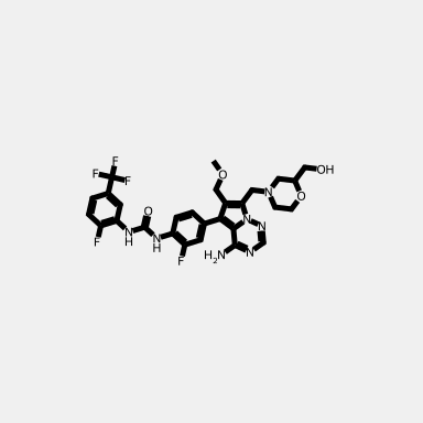 COCc1c(-c2ccc(NC(=O)Nc3cc(C(F)(F)F)ccc3F)c(F)c2)c2c(N)ncnn2c1CN1CCOC(CO)C1